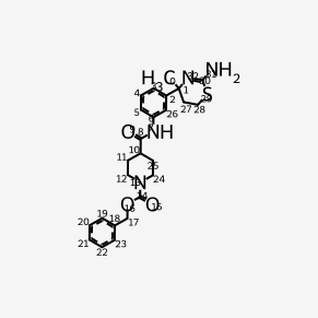 CC1(c2cccc(NC(=O)C3CCN(C(=O)OCc4ccccc4)CC3)c2)CCSC(N)=N1